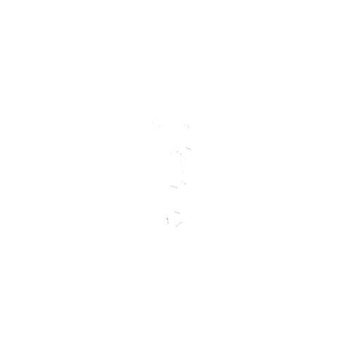 CC(C)C1CC(C(=O)NC23CC(NC(=O)COc4ccc(Cl)c(F)c4)(C2)C3)ON1